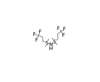 CS(C)(CCC(F)(F)F)NS(C)(C)CCC(F)(F)F